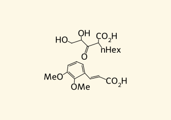 CCCCCCC(C(=O)O)C(=O)C(O)CO.COc1cccc(/C=C/C(=O)O)c1OC